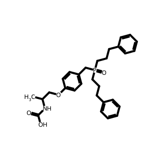 CC(COc1ccc(CP(=O)(CCCc2ccccc2)CCCc2ccccc2)cc1)NC(=O)O